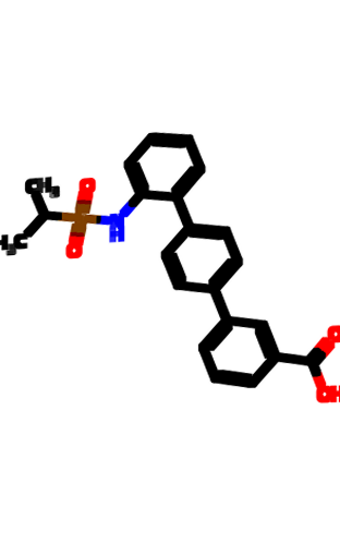 CC(C)S(=O)(=O)Nc1ccccc1-c1ccc(-c2cccc(C(=O)O)c2)cc1